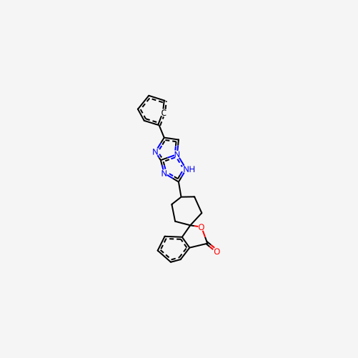 O=C1OC2(CCC(c3nc4nc(-c5ccccc5)cn4[nH]3)CC2)c2ccccc21